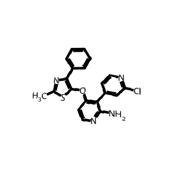 Cc1nc(-c2ccccc2)c(Oc2ccnc(N)c2-c2ccnc(Cl)c2)s1